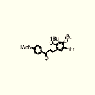 CCCc1cc(/C=C/C(=O)c2ccc(NC)cc2)c(OC(C)(C)C)cc1OC(C)(C)C